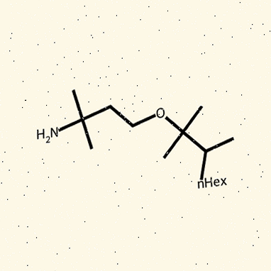 CCCCCCC(C)C(C)(C)OCCC(C)(C)N